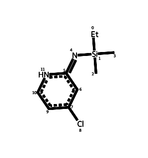 CC[Si](C)(C)N=c1cc(Cl)cc[nH]1